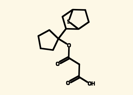 O=C(O)CC(=O)OC1(C2CC3CCC2S3)CCCC1